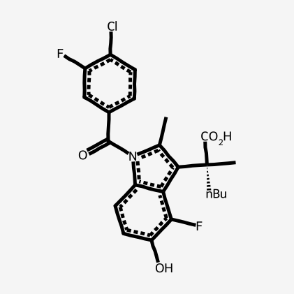 CCCC[C@@](C)(C(=O)O)c1c(C)n(C(=O)c2ccc(Cl)c(F)c2)c2ccc(O)c(F)c12